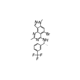 Cc1nc(N[C@H](C)c2cccc(C(F)(F)F)c2)c2c(Br)cc3c(cnn3C)c2n1